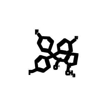 Cn1ccnc1[S+]([O-])C(c1ccc(F)cc1)(c1ccc(F)cc1)c1ccc(F)cc1